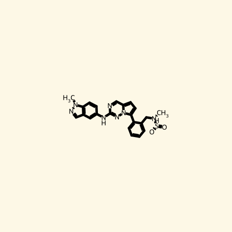 CN(Cc1ccccc1-c1ccc2cnc(Nc3ccc4c(cnn4C)c3)nn12)[SH](=O)=O